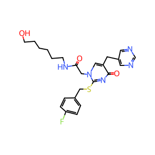 O=C(Cn1cc(Cc2cncnc2)c(=O)nc1SCc1ccc(F)cc1)NCCCCCCO